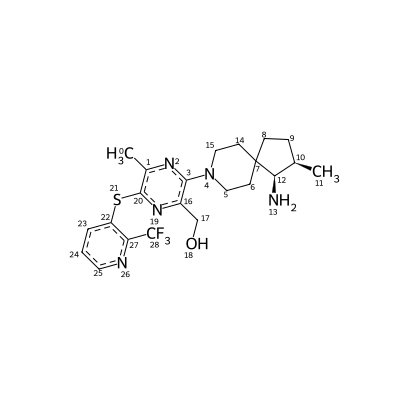 Cc1nc(N2CCC3(CC[C@@H](C)[C@H]3N)CC2)c(CO)nc1Sc1cccnc1C(F)(F)F